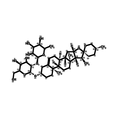 CC1O[C@@H](O[C@H]2C(O)[C@H](O)C(CO)O[C@H]2O[C@H]2CC[C@@]3(C)C(=CC[C@H]4[C@@H]5C[C@@H]6O[C@]7(CC[C@@H](C)CO7)[C@@H](C)[C@@H]6[C@@]5(C)CC[C@@H]43)C2)[C@@H](O)C(O)[C@H]1O